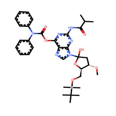 CO[C@H]1CC(O)(n2cnc3c(OC(=O)N(c4ccccc4)c4ccccc4)nc(NC(=O)C(C)C)nc32)O[C@@H]1CO[Si](C)(C)C(C)(C)C